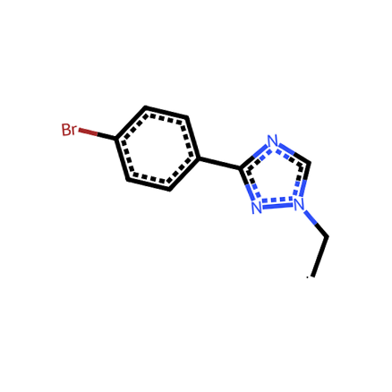 [CH2]Cn1cnc(-c2ccc(Br)cc2)n1